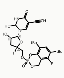 C#CC1=CN([C@@H]2O[C@](F)(COP3(=O)OCc4c(F)c(C(C)(C)C)cc(C(C)(C)C)c4O3)C[C@H]2O)C(O)NC1=O